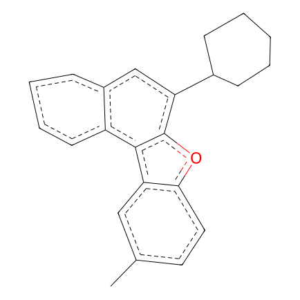 Cc1ccc2oc3c(C4CCCCC4)cc4ccccc4c3c2c1